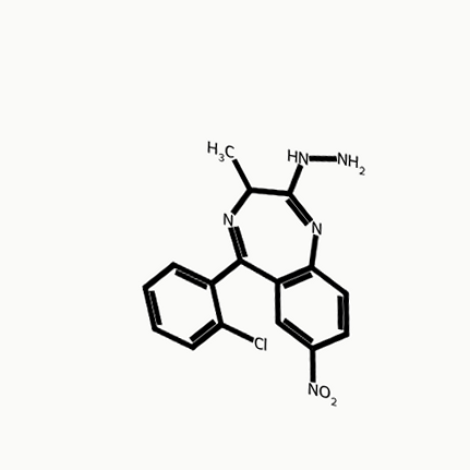 CC1N=C(c2ccccc2Cl)c2cc([N+](=O)[O-])ccc2N=C1NN